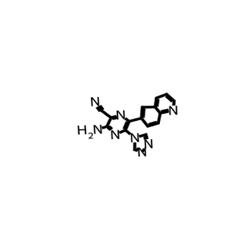 N#Cc1nc(-c2ccc3ncccc3c2)c(-n2cnnc2)nc1N